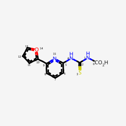 O=C(O)NC(=S)Nc1cccc(-c2ccco2)n1